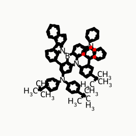 CC(C)(C)c1ccc(N(c2ccc(C(C)(C)C)cc2)c2cc3c4c(c2)N(c2ccc(C(C)(C)C)cc2-c2ccccc2)c2cc(N(c5ccccc5)c5ccccc5)ccc2B4n2c4ccc5ccccc5c4c4cccc-3c42)cc1